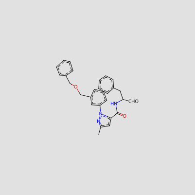 Cc1cc(C(=O)NC(C=O)Cc2ccccc2)n(-c2cccc(COCc3ccccc3)c2)n1